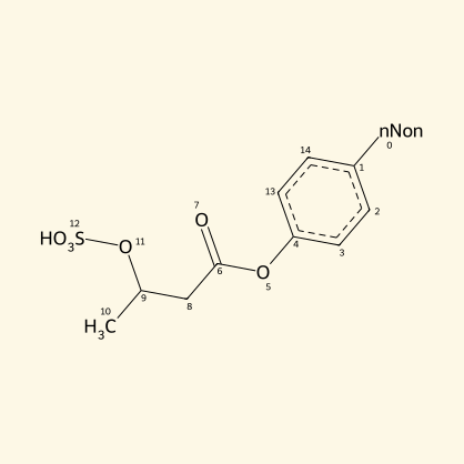 CCCCCCCCCc1ccc(OC(=O)CC(C)OS(=O)(=O)O)cc1